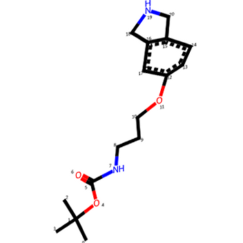 CC(C)(C)OC(=O)NCCCOc1ccc2c(c1)CNC2